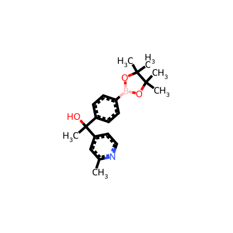 Cc1cc(C(C)(O)c2ccc(B3OC(C)(C)C(C)(C)O3)cc2)ccn1